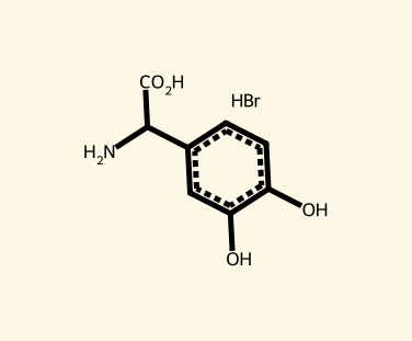 Br.NC(C(=O)O)c1ccc(O)c(O)c1